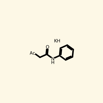 CC(=O)CC(=O)Nc1ccccc1.[KH]